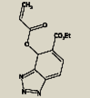 C=CC(=O)OC1C(C(=O)OCC)=CC=C2N=NN=C21